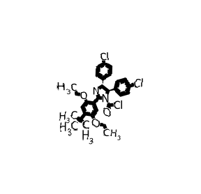 CCOc1cc(C(C)(C)C)c(OCC)cc1C1=N[C@H](c2ccc(Cl)cc2)[C@@H](c2ccc(Cl)cc2)N1C(=O)Cl